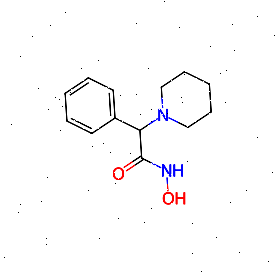 O=C(NO)C(c1ccccc1)N1CCCCC1